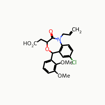 C=CCN1C(=O)C(CC(=O)O)OC(c2cccc(OC)c2OC)c2cc(Cl)ccc21